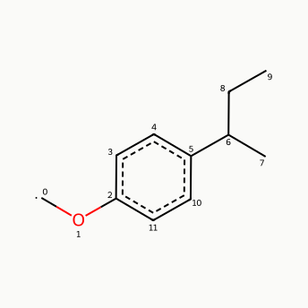 [CH2]Oc1ccc(C(C)CC)cc1